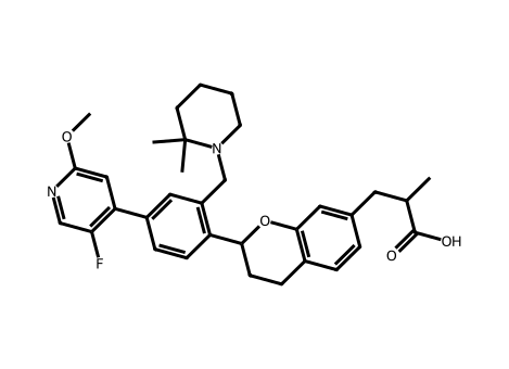 COc1cc(-c2ccc(C3CCc4ccc(CC(C)C(=O)O)cc4O3)c(CN3CCCCC3(C)C)c2)c(F)cn1